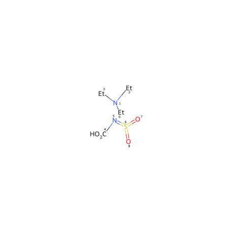 CCN(CC)CC.O=C(O)N=S(=O)=O